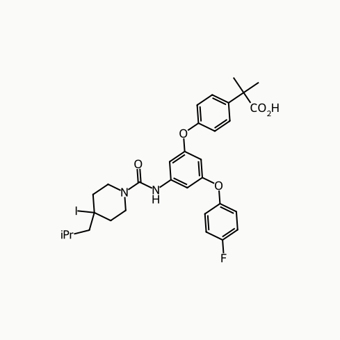 CC(C)CC1(I)CCN(C(=O)Nc2cc(Oc3ccc(F)cc3)cc(Oc3ccc(C(C)(C)C(=O)O)cc3)c2)CC1